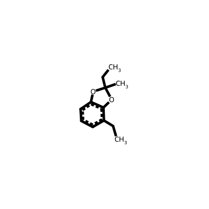 CCc1cccc2c1OC(C)(CC)O2